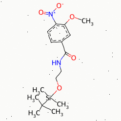 COc1cc(C(=O)NCCO[Si](C)(C)C(C)(C)C)ccc1[N+](=O)[O-]